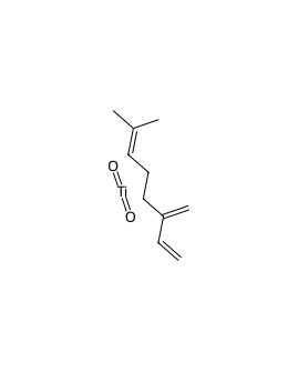 C=CC(=C)CCC=C(C)C.[O]=[Ti]=[O]